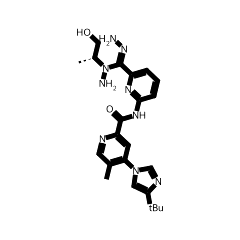 Cc1cnc(C(=O)Nc2cccc(/C(=N/N)N(N)[C@H](C)CO)n2)cc1-n1cnc(C(C)(C)C)c1